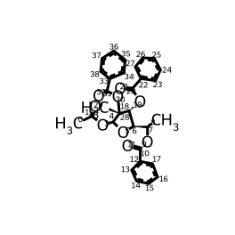 CC(=O)OC1O[C@H](C(C)OC(=O)c2ccccc2)[C@@H](OC(=O)c2ccccc2)[C@@]1(C)OC(=O)c1ccccc1